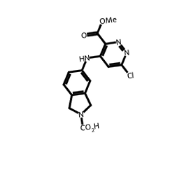 COC(=O)c1nnc(Cl)cc1Nc1ccc2c(c1)CN(C(=O)O)C2